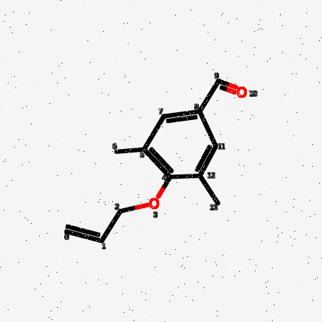 C=CCOc1c(C)cc(C=O)cc1C